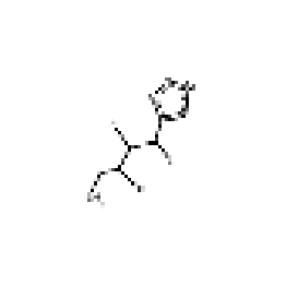 BCC(F)C(F)C(F)c1c[nH]nn1